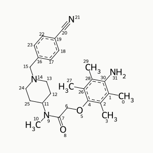 Cc1c(C)c(OCC(=O)N(C)C2CCN(Cc3ccc(C#N)cc3)CC2)c(C)c(C)c1N